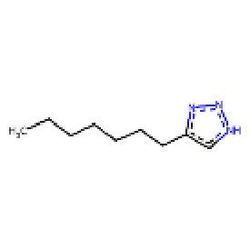 CCCCCCCc1c[nH]nn1